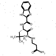 CC(C)(C)C[C@H](NC(=O)c1nc2ccccc2[nH]1)C(=O)NNCCC(N)=O